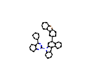 c1ccc(-c2nc(-n3c4ccccc4c4c5ccccc5c(-c5ccc6sc7ccccc7c6c5)cc43)nc3ccccc23)cc1